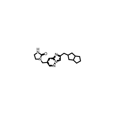 O=C1NCCN1Cc1cnn2cc(CC3CC4CCCC4C3)nc2c1